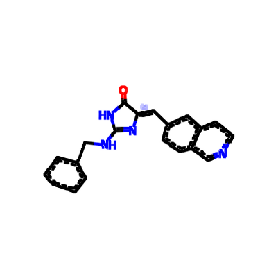 O=C1NC(NCc2ccccc2)=N/C1=C\c1ccc2cnccc2c1